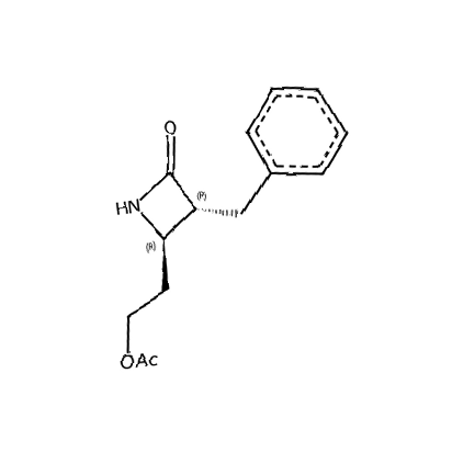 CC(=O)OCC[C@H]1NC(=O)[C@@H]1Cc1ccccc1